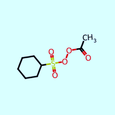 CC(=O)OOS(=O)(=O)C1CCCCC1